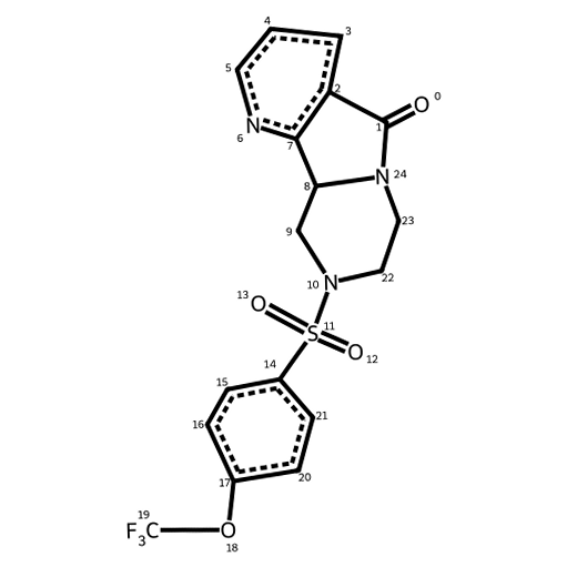 O=C1c2cccnc2C2CN(S(=O)(=O)c3ccc(OC(F)(F)F)cc3)CCN12